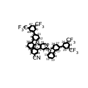 N#Cc1cccc(-c2cc(-n3c4ccccc4c4cc(-c5cc(C(F)(F)F)cc(C(F)(F)F)c5)ccc43)ncc2-n2c3ccccc3c3cc(-c4cc(C(F)(F)F)cc(C(F)(F)F)c4)ccc32)c1